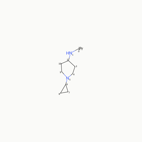 CC(C)NC1CCN(C2CC2)CC1